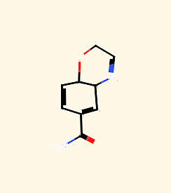 NC(=O)C1=CC2N=CCOC2C=C1